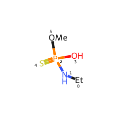 CCNP(O)(=S)OC